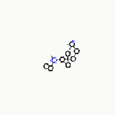 Cc1nc(-c2ccc3c(c2)-c2ccccc2C3(c2ccccc2)c2cccc(-c3cccc(-c4cncc(C)c4C)c3)c2)nc(-c2cccc3ccccc23)n1